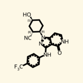 N#C[C@@H]1C[C@@H](O)CC[C@H]1n1nc(Nc2ccc(C(F)(F)F)cc2)c2c(=O)[nH]ccc21